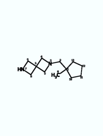 CC1(CN2CC3(CNC3)C2)CCCC1